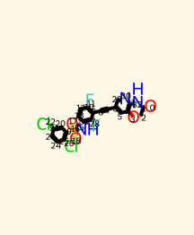 O=C1COc2cc(C#Cc3c(F)ccc(NS(=O)(=O)c4cc(Cl)ccc4Cl)c3F)cnc2N1